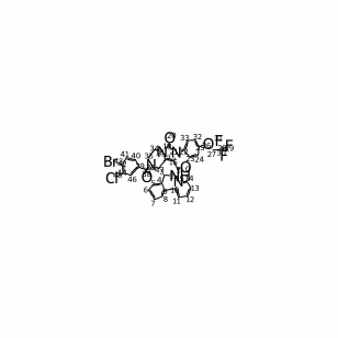 O=C(NCc1ccccc1-c1ccccn1)c1c2n(c(=O)n1-c1ccc(OCC(F)(F)F)cc1)CCN(C(=O)c1ccc(Br)c(Cl)c1)C2